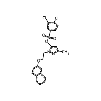 Cc1cc(OS(=O)(=O)c2ccc(Cl)c(Cl)c2)n(CCOc2ccc3ccccc3c2)n1